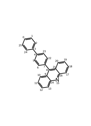 c1ccc(-c2ccc(-c3c4ccccc4nc4ccccc34)cc2)cc1